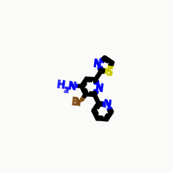 Nc1cc(-c2nccs2)nc(-c2ccccn2)c1Br